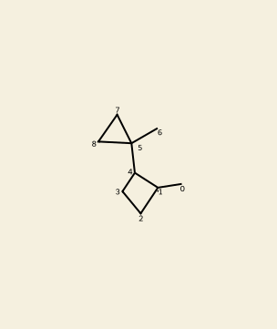 C[C]1CCC1C1(C)CC1